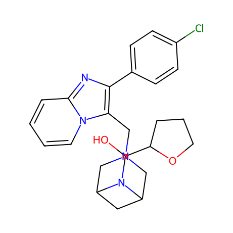 OC(C1CCCO1)N1C2CC1CN(Cc1c(-c3ccc(Cl)cc3)nc3ccccn13)C2